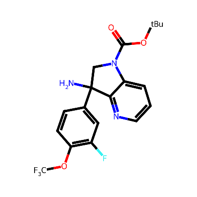 CC(C)(C)OC(=O)N1CC(N)(c2ccc(OC(F)(F)F)c(F)c2)c2ncccc21